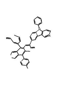 C=C/C=C(\C=C/C)c1c(/C=C(\C=C)c2ccc3c(c2)c2cnccc2n3-c2ccccc2)c(C)c(-c2ccc(C)cc2)c(=C/C)/c1=C\C